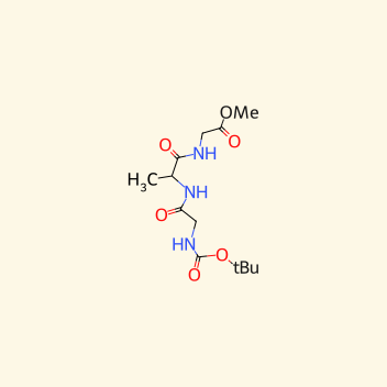 COC(=O)CNC(=O)C(C)NC(=O)CNC(=O)OC(C)(C)C